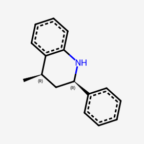 C[C@@H]1C[C@H](c2ccccc2)Nc2ccccc21